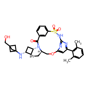 Cc1cccc(C)c1-c1cc2nc(n1)NS(=O)(=O)c1cccc(c1)C(=O)N([C@H]1C[C@@H](NC34CC(CO)(C3)C4)C1)[C@H](CC(C)C)CO2